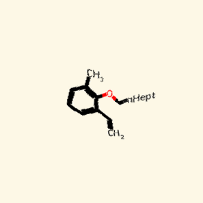 C=Cc1cccc(C)c1OCCCCCCCC